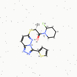 CC[C@@H](Sc1ccc2nnc(-c3cccs3)n2n1)C(=O)N1CCCCC1F